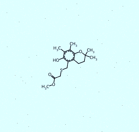 COC(=O)CSCc1c(O)c(C)c(C)c2c1CCC(C)(C)O2